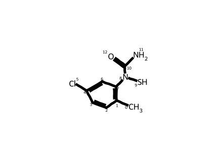 Cc1ccc(Cl)cc1N(S)C(N)=O